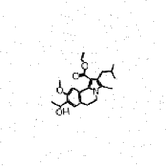 CCOC(=O)c1c(CC(C)C)c(C)n2c1-c1cc(OC)c(C(C)O)cc1CC2